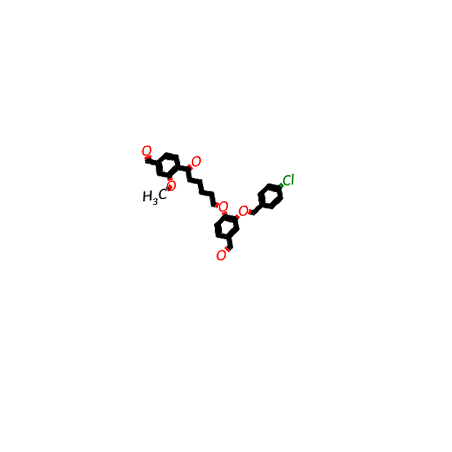 COc1cc(C=O)ccc1C(=O)CCCCCOc1ccc(C=O)cc1OCc1ccc(Cl)cc1